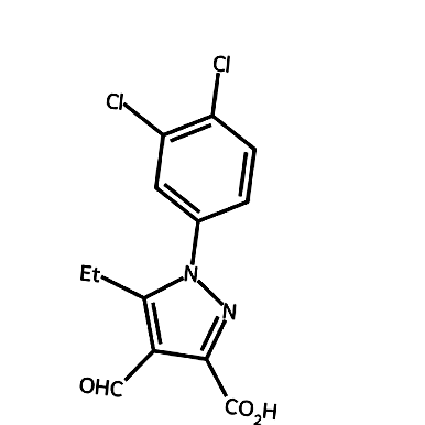 CCc1c(C=O)c(C(=O)O)nn1-c1ccc(Cl)c(Cl)c1